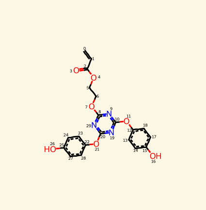 C=CC(=O)OCCOc1nc(Oc2ccc(O)cc2)nc(Oc2ccc(O)cc2)n1